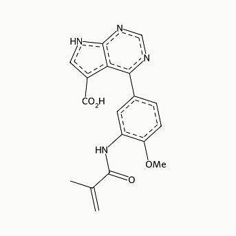 C=C(C)C(=O)Nc1cc(-c2ncnc3[nH]cc(C(=O)O)c23)ccc1OC